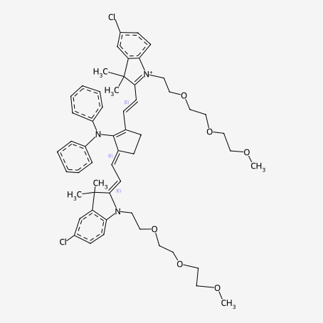 COCCOCCOCCN1/C(=C/C=C2\CCC(/C=C/C3=[N+](CCOCCOCCOC)c4ccc(Cl)cc4C3(C)C)=C2N(c2ccccc2)c2ccccc2)C(C)(C)c2cc(Cl)ccc21